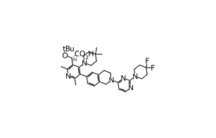 Cc1nc(C)c([C@H](OC(C)(C)C)C(=O)O)c(N2CCC(C)(C)CC2)c1-c1ccc2c(c1)CCN(c1ccnc(N3CCC(F)(F)CC3)n1)C2